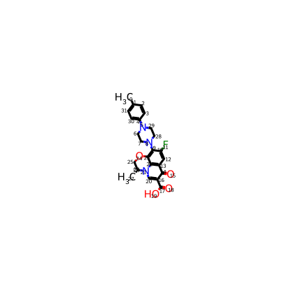 Cc1ccc(N2CCN(c3c(F)cc4c(=O)c(C(=O)O)cn5c4c3OC[C@@H]5C)CC2)cc1